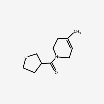 CC1=CCN(C(=O)C2CCOC2)CC1